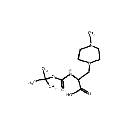 CN1CCN(CC(NC(=O)OC(C)(C)C)C(=O)O)CC1